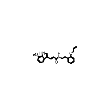 C=CCOc1ccccc1CCNC(=O)/C=C/c1c[nH]c2c(OC)cccc12